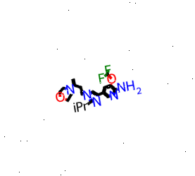 C=C(CCn1cc(-c2cnc(N)c(OC(F)F)c2)nc1C(C)C)N1CCOCC1